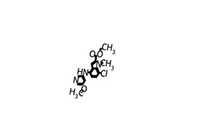 CCOC(=O)c1cc2c(Nc3cncc(OC)c3)ccc(Cl)c2n1C